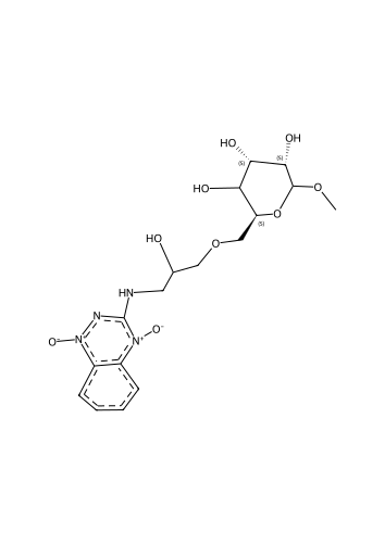 COC1O[C@@H](COCC(O)CNc2n[n+]([O-])c3ccccc3[n+]2[O-])C(O)[C@H](O)[C@@H]1O